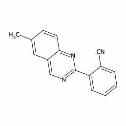 Cc1ccc2nc(-c3ccccc3C#N)ncc2c1